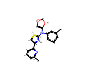 Cc1cccc(N(C2=COCO2)c2nc(-c3cccc(C)n3)cs2)c1